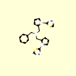 c1ccc(CN(Cc2cccn2-c2nncs2)Cc2cccn2-c2nncs2)cc1